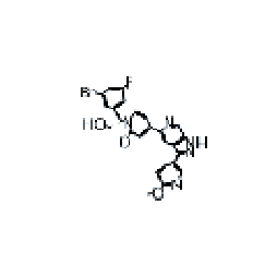 COc1ccc(-c2n[nH]c3cnc(-c4ccn([C@H](CO)c5cc(F)cc(Br)c5)c(=O)c4)cc23)cn1